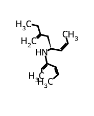 C=C(CC)C[C@@H](/C=C\C)NC(/C=C\C)=C/C